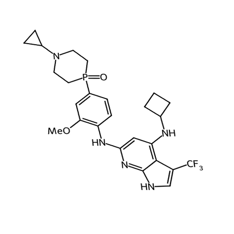 COc1cc(P2(=O)CCN(C3CC3)CC2)ccc1Nc1cc(NC2CCC2)c2c(C(F)(F)F)c[nH]c2n1